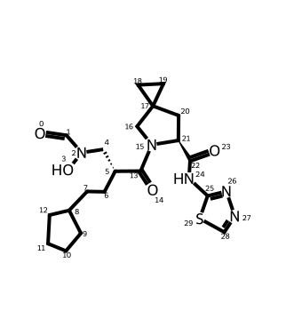 O=CN(O)C[C@@H](CCC1CCCC1)C(=O)N1CC2(CC2)C[C@H]1C(=O)Nc1nncs1